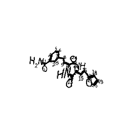 NC(=O)c1cccc(CC=C2NC(=O)C(C=Cc3ccco3)NC2=O)c1